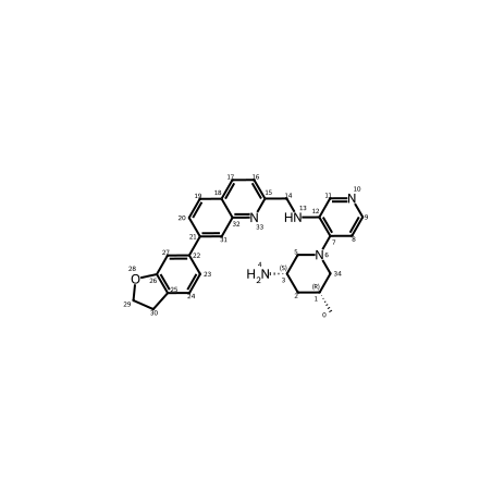 C[C@@H]1C[C@H](N)CN(c2ccncc2NCc2ccc3ccc(-c4ccc5c(c4)OCC5)cc3n2)C1